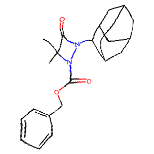 CC1(C)C(=O)N(C2C3CC4CC(C3)CC2C4)N1C(=O)OCc1ccccc1